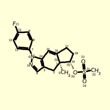 C[C@]12Cc3cnn(-c4ccc(F)cc4)c3C=C1CC[C@@H]2OS(C)(=O)=O